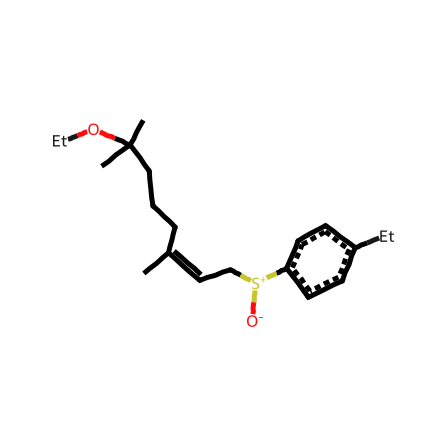 CCOC(C)(C)CCCC(C)=CC[S+]([O-])c1ccc(CC)cc1